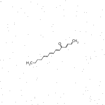 C=CC=CC(=O)C=CC=CC=CCCCC